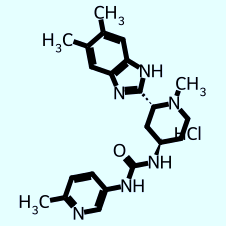 Cc1ccc(NC(=O)N[C@@H]2CCN(C)[C@@H](c3nc4cc(C)c(C)cc4[nH]3)C2)cn1.Cl